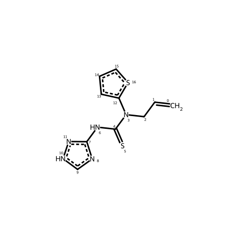 C=CCN(C(=S)Nc1nc[nH]n1)c1cccs1